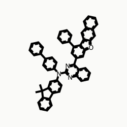 CC1(C)c2ccccc2-c2ccc(N(c3ccc(-c4ccccc4)cc3)c3nc(-c4cc(-c5ccccc5)c5c(c4)oc4cc6ccccc6cc45)c4ccccc4n3)cc21